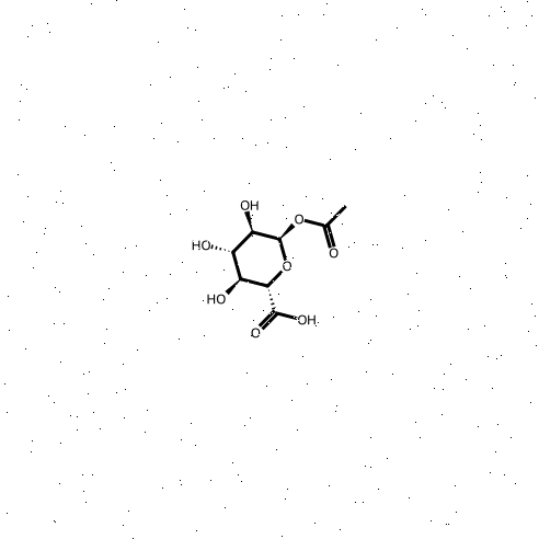 CC(=O)O[C@H]1O[C@H](C(=O)O)[C@@H](O)[C@H](O)[C@H]1O